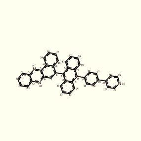 c1ccc2nc3c(cc(-c4c5ccccc5c(-c5ccc(-c6ccncc6)cc5)c5ccccc45)c4ccccc43)nc2c1